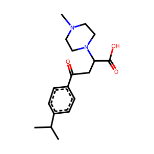 CC(C)c1ccc(C(=O)CC(C(=O)O)N2CCN(C)CC2)cc1